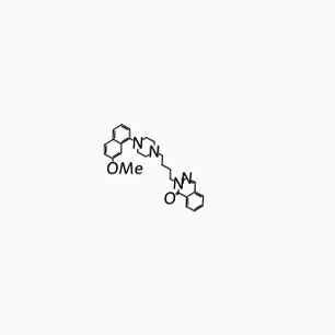 COc1ccc2cccc(N3CCN(CCCCn4ncc5ccccc5c4=O)CC3)c2c1